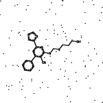 N#Cc1c(-c2ccccc2)cc(-c2cccs2)nc1SCSCCCO